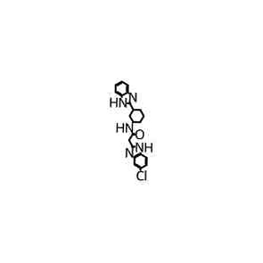 O=C(Cc1nc2cc(Cl)ccc2[nH]1)NC1CCCC(c2nc3ccccc3[nH]2)C1